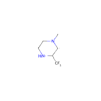 CN1[CH]C(C(F)(F)F)NCC1